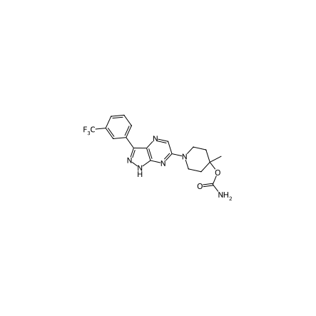 CC1(OC(N)=O)CCN(c2cnc3c(-c4cccc(C(F)(F)F)c4)n[nH]c3n2)CC1